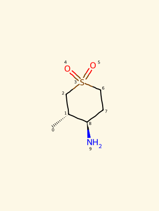 C[C@@H]1CS(=O)(=O)CC[C@H]1N